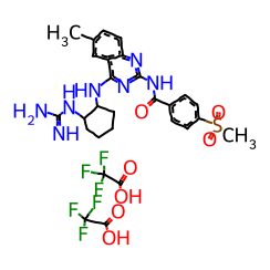 Cc1ccc2nc(NC(=O)c3ccc(S(C)(=O)=O)cc3)nc(NC3CCCCC3NC(=N)N)c2c1.O=C(O)C(F)(F)F.O=C(O)C(F)(F)F